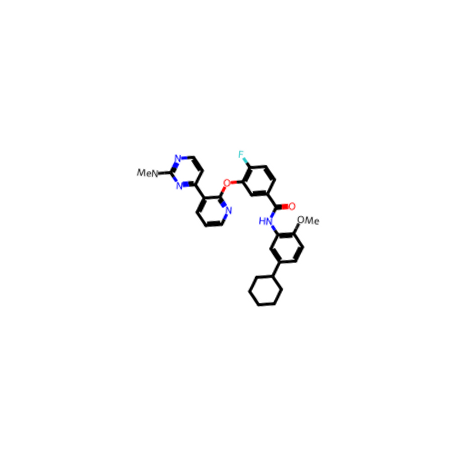 CNc1nccc(-c2cccnc2Oc2cc(C(=O)Nc3cc(C4CCCCC4)ccc3OC)ccc2F)n1